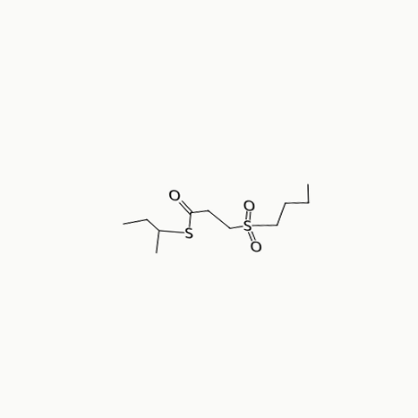 CCCCS(=O)(=O)CCC(=O)SC(C)CC